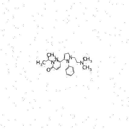 CC(C)n1nc(C2=CCN(CCN(C)C)N2c2ccccc2)ccc1=O